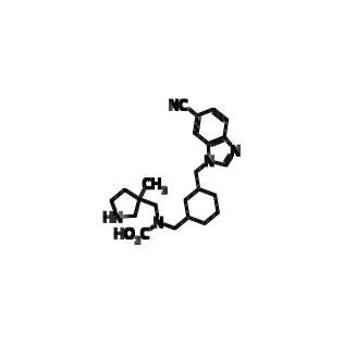 CC1(CN(CC2CCCC(Cn3cnc4ccc(C#N)cc43)C2)C(=O)O)CCNC1